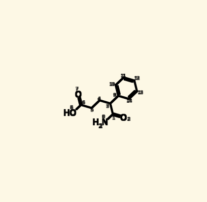 NC(=O)C(CCC(=O)O)c1ccccc1